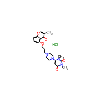 Cc1coc2cccc(OCCCN3CCN(c4cc(=O)n(C)c(=O)n4C)CC3)c2c1=O.Cl